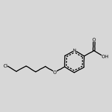 O=C(O)c1ccc(OCCCCCl)cn1